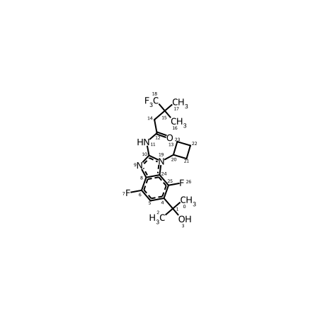 CC(C)(O)c1cc(F)c2nc(NC(=O)CC(C)(C)C(F)(F)F)n(C3CCC3)c2c1F